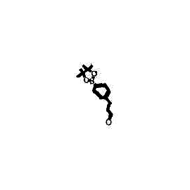 CC1(C)OB(c2ccc(CCC=O)cc2)OC1(C)C